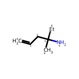 C=CCC(C)(N)CC